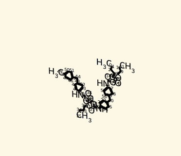 CCCCOP(=O)(OCCCC)OC(=O)Nc1ccc(Cc2ccc(NC(=O)OP(=O)(OCCCC)OC(=O)Nc3ccc(Cc4ccc(C)cc4)cc3)cc2)cc1